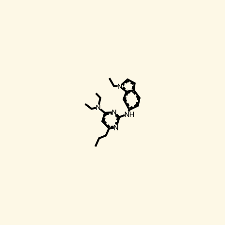 CCCc1cc(N(CC)CC)nc(Nc2ccc3ccn(CC)c3c2)n1